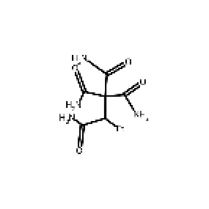 CCC(C(N)=O)C(C(N)=O)(C(N)=O)C(N)=O